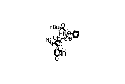 CCCCOC(=O)[C@H](C)NP(=O)(OC[C@H]1OC(n2ccc(=O)[nH]c2=O)=C(N=[N+]=[N-])[C@@H]1O)Oc1ccccc1